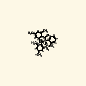 Cc1cc(C)c(C(=O)P(=O)(C(=O)c2c(C)cc(C)cc2C)c2ccccc2C)c(C)c1